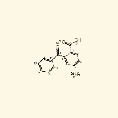 O=C(O)c1ccccc1C(=O)c1ccccc1.[NaH]